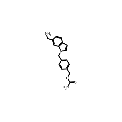 NCc1ccc2ccn(Cc3ccc(COC(N)=O)cc3)c2c1